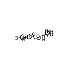 Cc1c(NC[C@@H]2CC[C@@H](CC(=O)N3CCN(c4ncc(Cl)cn4)CC3)O2)cn[nH]c1=O